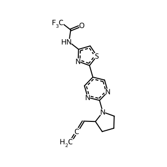 C=C=CC1CCCN1c1ncc(-c2nc(NC(=O)C(F)(F)F)cs2)cn1